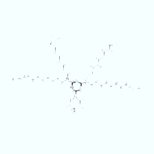 CCCCCCCCCCCCCCCCCCN(CCCCCCCCCCCCCCCCCC)c1nc(N(CCCCCCCCCCCCCCCCCC)CCCCCCCCCCCCCCCCCC)nc(N2CCC(C(=O)O)CC2)n1